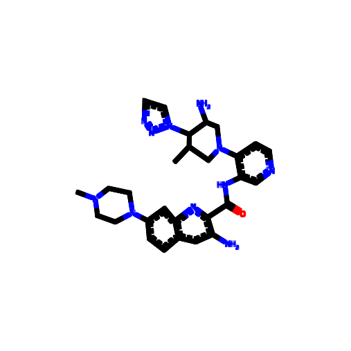 CC1CN(c2ccncc2NC(=O)c2nc3cc(N4CCN(C)CC4)ccc3cc2N)CC(N)C1n1ccnn1